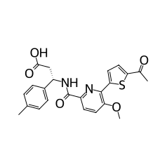 COc1ccc(C(=O)N[C@@H](CC(=O)O)c2ccc(C)cc2)nc1-c1ccc(C(C)=O)s1